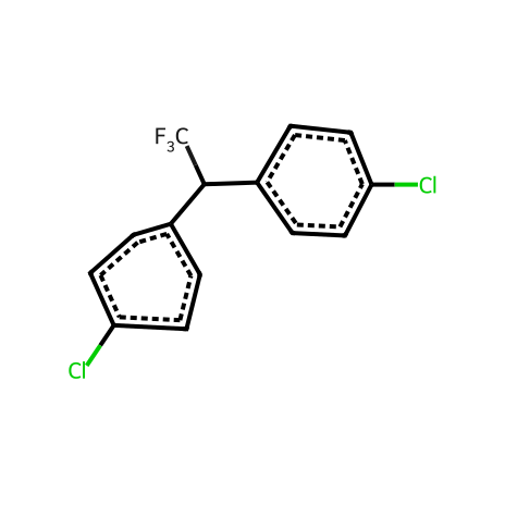 FC(F)(F)C(c1ccc(Cl)cc1)c1ccc(Cl)cc1